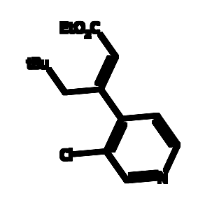 CCOC(=O)C=C(CC(C)(C)C)c1ccncc1Cl